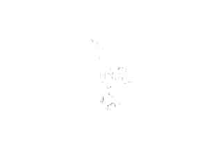 O=C(CCCCC1CCSS1)NC(C[C@H](O)c1ccc(O)c(O)c1)B(O)O